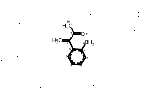 Bc1ccccc1C(=C)C(C)=O